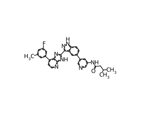 Cc1cc(F)cc(-c2ccnc3[nH]c(-c4n[nH]c5ccc(-c6cncc(NC(=O)CC(C)C)c6)cc45)nc23)c1